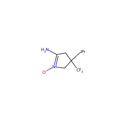 CC(C)C1(C(F)(F)F)CC(N)=[N+]([O-])C1